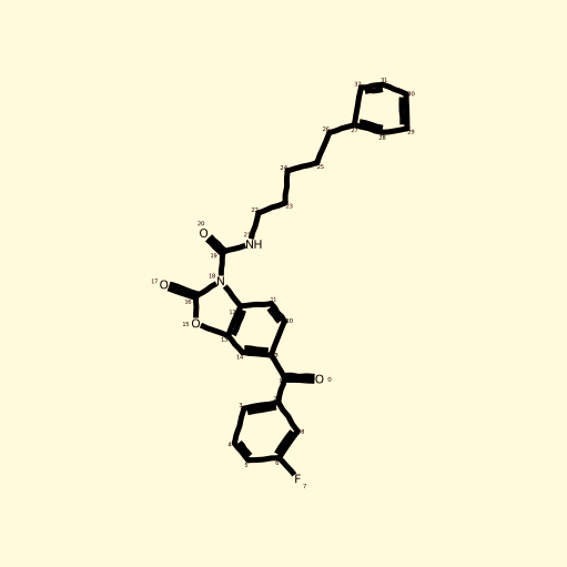 O=C(c1cccc(F)c1)c1ccc2c(c1)oc(=O)n2C(=O)NCCCCCc1ccccc1